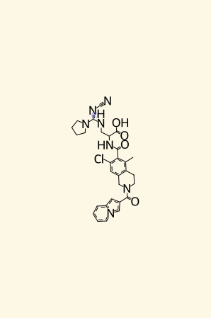 Cc1c2c(cc(Cl)c1C(=O)NC(CN/C(=N\C#N)N1CCCC1)C(=O)O)CN(C(=O)c1cc3ccccn3c1)CC2